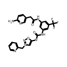 Nc1ccc(CC(=O)Nc2cc(NC(=O)[N-]c3c[n+](Cc4ccccn4)no3)cc(C(F)(F)F)c2)cn1